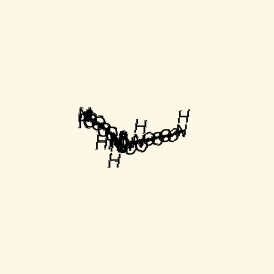 CNCCOCCOCCOCCOCCC(=O)NCCC(=O)N1Cc2ccccc2C2=C(NNN2CCOCCOCCOCCOc2cccnc2F)c2ccccc21